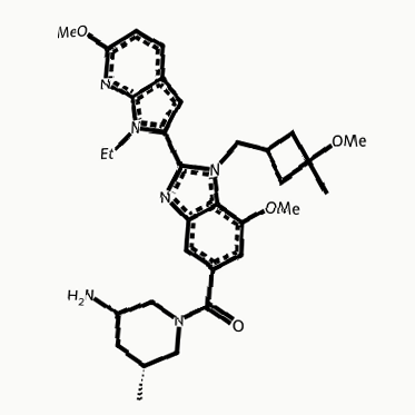 CCn1c(-c2nc3cc(C(=O)N4CC(N)C[C@@H](C)C4)cc(OC)c3n2CC2CC(C)(OC)C2)cc2ccc(OC)nc21